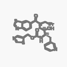 CC(C)CN(C[C@@H](O)[C@H](Cc1cccnc1)NC(=O)OCc1cncs1)C(=O)c1ccc2ncsc2c1